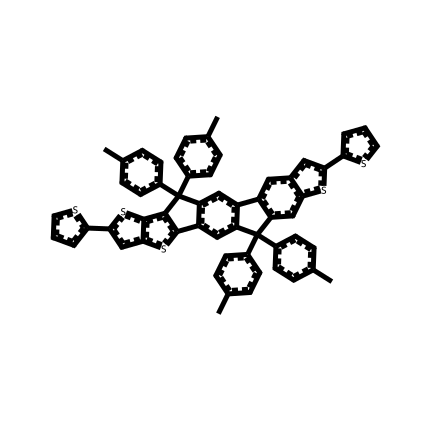 Cc1ccc(C2(c3ccc(C)cc3)c3cc4c(cc3-c3cc5cc(-c6cccs6)sc5cc32)C(c2ccc(C)cc2)(c2ccc(C)cc2)c2c-4sc3cc(-c4cccs4)sc23)cc1